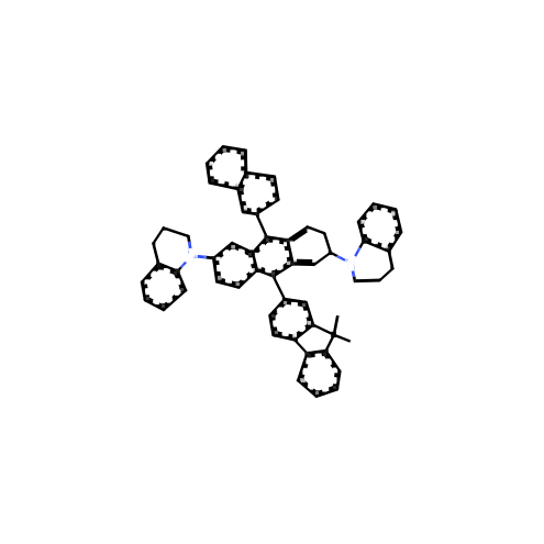 CC1(C)c2ccccc2-c2ccc(-c3c4c(c(-c5ccc6ccccc6c5)c5cc(N6CCCc7ccccc76)ccc35)=CCC(N3CCCc5ccccc53)C=4)cc21